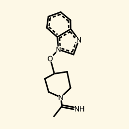 CC(=N)N1CCC(On2cnc3ccccc32)CC1